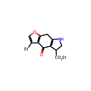 CCOC(=O)C1CNC2=C1C(=O)c1c(CC)coc1C2